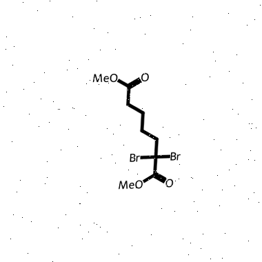 COC(=O)CCCCC(Br)(Br)C(=O)OC